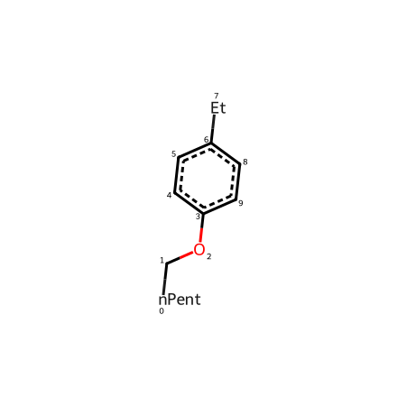 C[CH]CCCCOc1ccc(CC)cc1